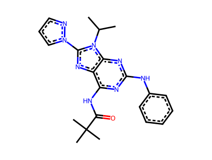 CC(C)n1c(-n2cccn2)nc2c(NC(=O)C(C)(C)C)nc(Nc3ccccc3)nc21